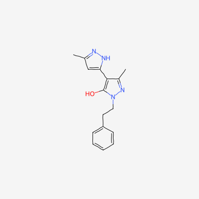 Cc1cc(-c2c(C)nn(CCc3ccccc3)c2O)[nH]n1